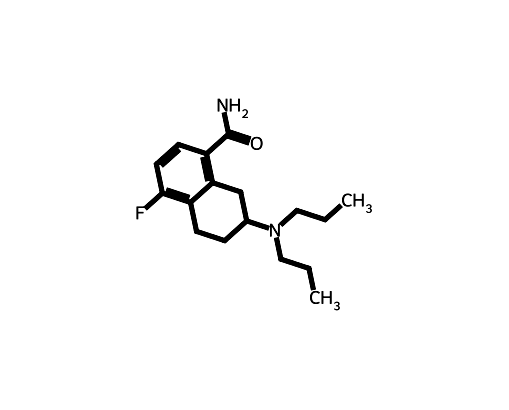 CCCN(CCC)C1CCc2c(F)ccc(C(N)=O)c2C1